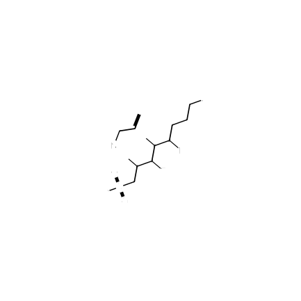 C=CCN.O=S(=O)(O)CC(F)C(F)C(F)C(F)CCCF